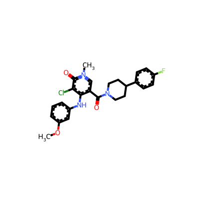 COc1cccc(Nc2c(C(=O)N3CCC(c4ccc(F)cc4)CC3)cn(C)c(=O)c2Cl)c1